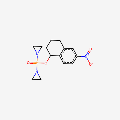 O=[N+]([O-])c1ccc2c(c1)CCCC2OP(=O)(N1CC1)N1CC1